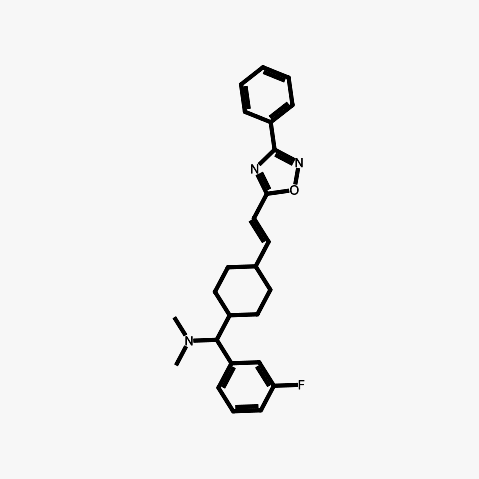 CN(C)C(c1cccc(F)c1)C1CCC(/C=C/c2nc(-c3ccccc3)no2)CC1